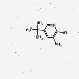 BC(B)(P)c1cnc(C(C)C)c(P)c1